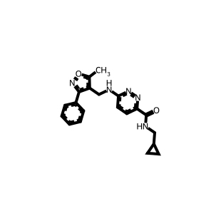 Cc1onc(-c2ccccc2)c1CNc1ccc(C(=O)NCC2CC2)nn1